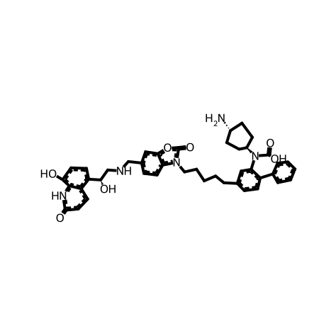 N[C@H]1CC[C@H](N(C(=O)O)c2cc(CCCCCn3c(=O)oc4cc(CNC[C@H](O)c5ccc(O)c6[nH]c(=O)ccc56)ccc43)ccc2-c2ccccc2)CC1